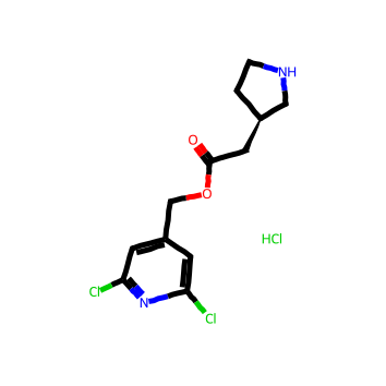 Cl.O=C(C[C@H]1CCNC1)OCc1cc(Cl)nc(Cl)c1